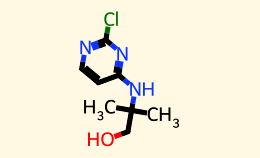 CC(C)(CO)Nc1ccnc(Cl)n1